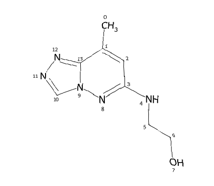 Cc1cc(NCCO)nn2cnnc12